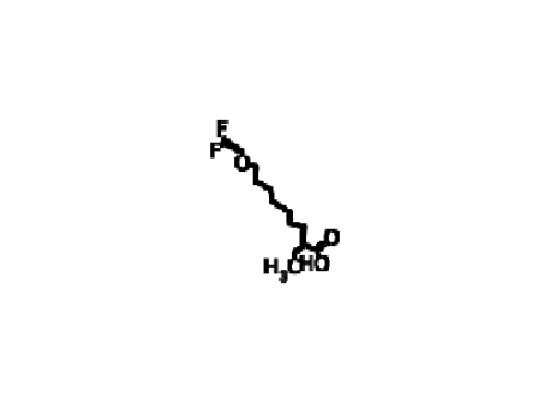 CC/C(=C\C=C\CCCCOC=C(F)F)C(=O)O